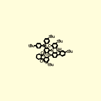 Cc1cc(C(C)(C)C)cc(C)c1N1c2cc(N(c3ccc(C(C)(C)C)cc3)c3ccc(C(C)(C)C)cc3)cc3c2B(c2cc(C(C)(C)C)cc4c2N3C2(C)CCCCC42C)c2ccc3c(sc4cc(C(C)(C)C)ccc43)c21